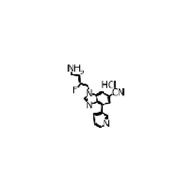 Cl.N#Cc1cc(-c2cccnc2)c2ncn(CC(F)=CCN)c2c1